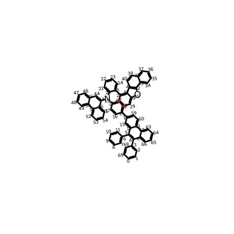 c1ccc(-c2c(-c3ccccc3)c3cc(-c4ccc(N(c5ccccc5-c5cccc6oc7c8ccccc8ccc7c56)c5cc6ccccc6c6ccccc56)cc4)ccc3c3ccccc23)cc1